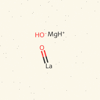 [MgH+].[OH-].[O]=[La]